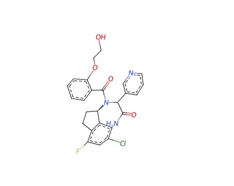 NC(=O)C(c1cccnc1)N(C(=O)c1ccccc1OCCO)[C@@H]1CCc2c(F)cc(Cl)cc21